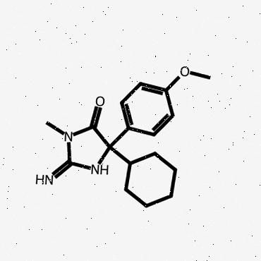 COc1ccc(C2(C3CCCCC3)NC(=N)N(C)C2=O)cc1